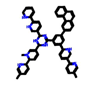 CC1=CNC(C2C=CC(C3NC(c4cc(C5=CC=C(c6ccc(C)cn6)CN5)cc(-c5ccc6ccc7ccccc7c6c5)c4)=NC(C4=CC=C(C5=CC=CCN5)NC4)N3)=CN2C)C=C1